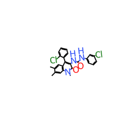 Cc1cc2c(-c3ccccc3Cl)c(NC(=O)Nc3cccc(Cl)c3)c(=O)n(C)c2cc1C